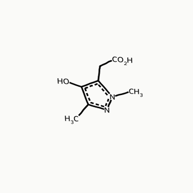 Cc1nn(C)c(CC(=O)O)c1O